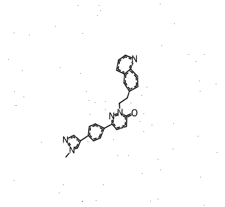 Cn1cc(-c2ccc(-c3ccc(=O)n(CCc4ccc5ncccc5c4)n3)cc2)cn1